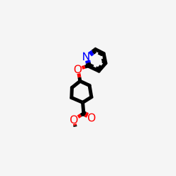 COC(=O)C1CCC(Oc2ccccn2)CC1